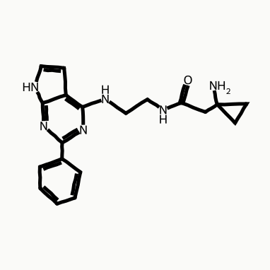 NC1(CC(=O)NCCNc2nc(-c3ccccc3)nc3[nH]ccc23)CC1